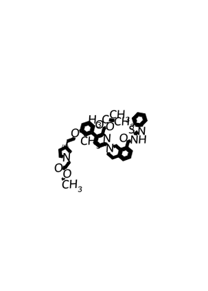 CCOC(=O)CN1CC[C@@H](CCOc2cccc(-c3ccc(N4CCc5cccc(C(=O)Nc6nc7ccccc7s6)c5C4)nc3C(=O)OC(C)(C)C)c2C)C1